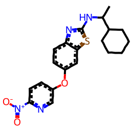 CC(Nc1nc2ccc(Oc3ccc([N+](=O)[O-])nc3)cc2s1)C1CCCCC1